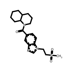 CS(=O)(=O)CCn1cnc2cc(C(=O)N3CCCC4CCCCC43)ccc21